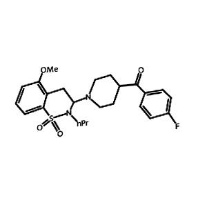 CCCN1C(N2CCC(C(=O)c3ccc(F)cc3)CC2)Cc2c(OC)cccc2S1(=O)=O